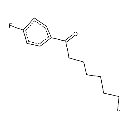 [CH2]CCCCCCC(=O)c1ccc(F)cc1